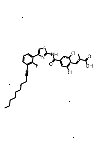 CCCCCCCCC#Cc1cccc(-c2csc(NC(=O)c3cc(Cl)c(/C=C(\C)C(=O)O)c(Cl)c3)n2)c1F